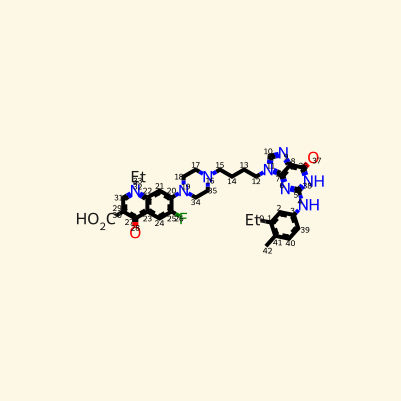 CCc1cc(Nc2nc3c(ncn3CCCCN3CCN(c4cc5c(cc4F)c(=O)c(C(=O)O)cn5CC)CC3)c(=O)[nH]2)ccc1C